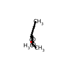 CCCCCCCCCCCCCCCc1ccc(C(=O)Oc2ccc(C(C)OCCCC)cc2)cc1